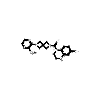 COc1nccnc1N1CC2(CN(C(=O)N3CCOc4cc(Cl)ccc43)C2)C1